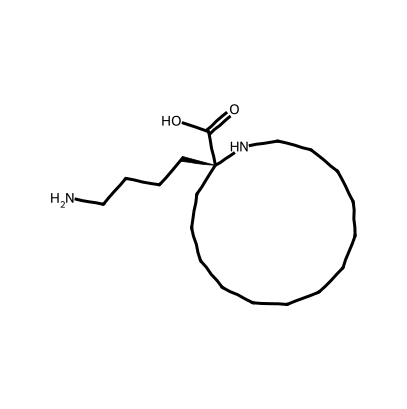 NCCCC[C@]1(C(=O)O)CCCCCCCCCCCCCN1